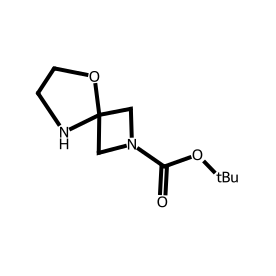 CC(C)(C)OC(=O)N1CC2(C1)NCCO2